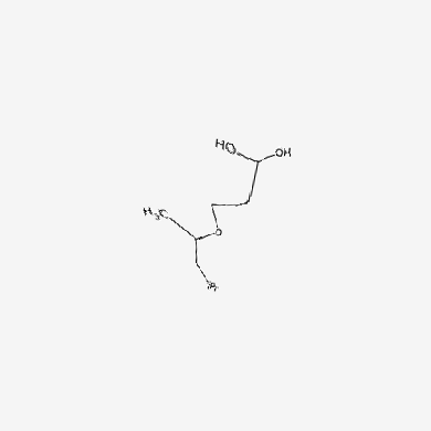 CC(C)CC(C)OCCC(O)O